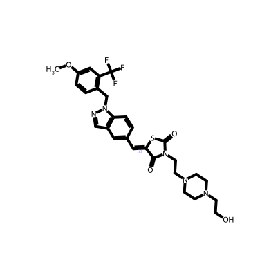 COc1ccc(Cn2ncc3cc(/C=C4\SC(=O)N(CCN5CCN(CCO)CC5)C4=O)ccc32)c(C(F)(F)F)c1